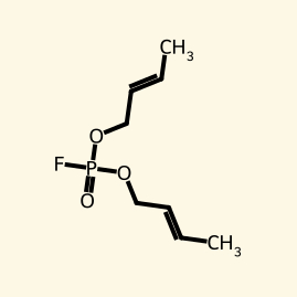 CC=CCOP(=O)(F)OCC=CC